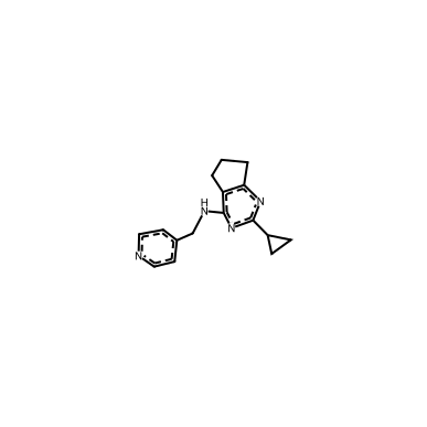 c1cc(CNc2nc(C3CC3)nc3c2CCC3)ccn1